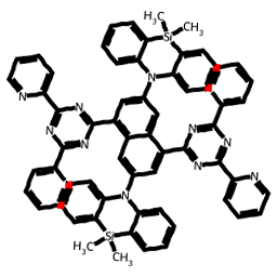 C[Si]1(C)c2ccccc2N(c2cc(-c3nc(-c4ccccn4)nc(-c4ccccn4)n3)c3cc(N4c5ccccc5[Si](C)(C)c5ccccc54)cc(-c4nc(-c5ccccn5)nc(-c5ccccn5)n4)c3c2)c2ccccc21